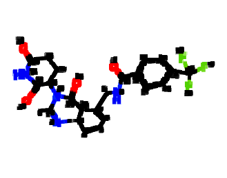 CC1=NC2C=CC=C(CNC(=O)c3ccc(C(F)(F)F)cc3)C2C(=O)N1C1CCC(=O)NC1=O